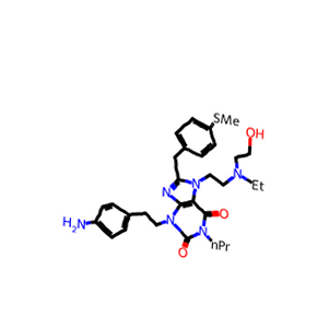 CCCn1c(=O)c2c(nc(Cc3ccc(SC)cc3)n2CCN(CC)CCO)n(CCc2ccc(N)cc2)c1=O